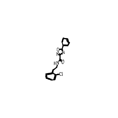 O=C(NCCc1ccccc1Cl)c1noc(-c2ccccc2)n1